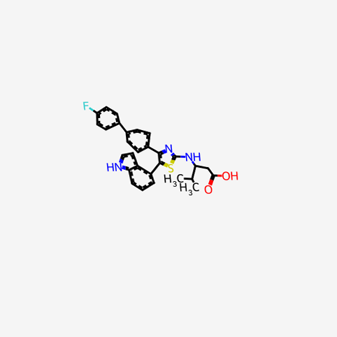 CC(C)C(CC(=O)O)Nc1nc(-c2ccc(-c3ccc(F)cc3)cc2)c(-c2cccc3[nH]ccc23)s1